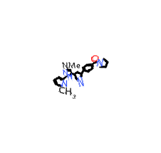 CNc1cc(-c2cncc(-c3ccc(C(=O)N4CCCC4)cc3)c2)nc(-c2cccc(C)n2)n1